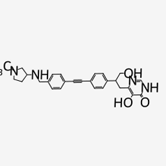 CN1CCC(NCc2ccc(C#Cc3ccc(C(CO)Cc4nc[nH]c(=O)c4O)cc3)cc2)C1